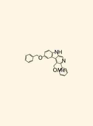 COCc1c(-c2ccccc2)ncc2[nH]c3ccc(OCc4ccccc4)cc3c12